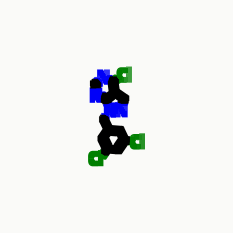 Clc1cc(Cl)cc(Cn2ncc3c(Cl)ncnc32)c1